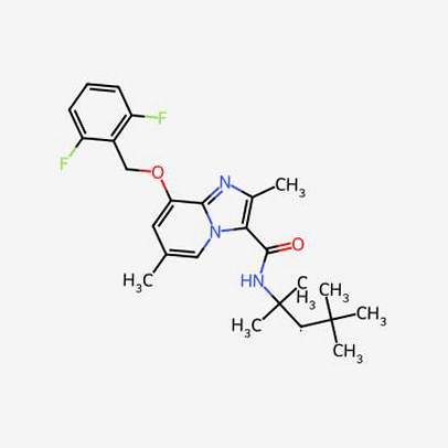 Cc1cc(OCc2c(F)cccc2F)c2nc(C)c(C(=O)NC(C)(C)[CH]C(C)(C)C)n2c1